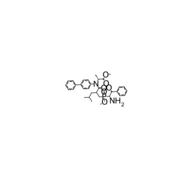 COC(=O)[C@H](C)N(C(=O)C(CC(C)C)CP(=O)(OC)C(N)C(=O)c1ccccc1)c1ccc(-c2ccccc2)cc1